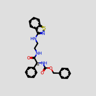 O=C(N[C@H](C(=O)NCCNc1nsc2ccccc12)c1ccccc1)OCc1ccccc1